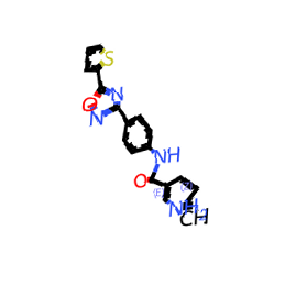 C#C/C=C\C(=C/N)C(=O)Nc1ccc(-c2noc(-c3cccs3)n2)cc1